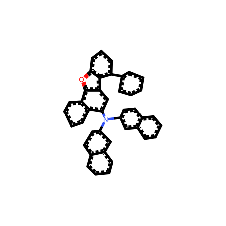 c1ccc(-c2cccc3oc4c5ccccc5c(N(c5ccc6ccccc6c5)c5ccc6ccccc6c5)cc4c23)cc1